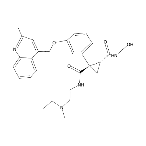 CCN(C)CCNC(=O)[C@]1(c2cccc(OCc3cc(C)nc4ccccc34)c2)C[C@H]1C(=O)NO